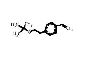 C=Cc1ccc(CCOC(C)(C)N)cc1